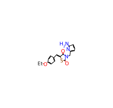 CCOc1ccc(/C=C2\SC(=O)N(Cc3cccc(N)n3)C2=O)cc1